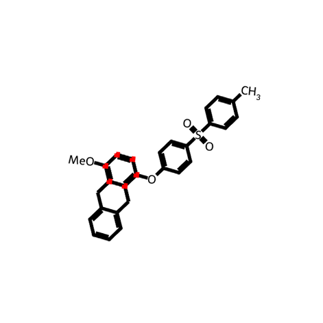 COc1ccc(Oc2ccc(S(=O)(=O)c3ccc(C)cc3)cc2)c2c1C1c3ccccc3C2c2ccccc21